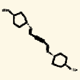 CCCCCC[C@H]1CC[C@H](C=CC#CC=C[C@H]2CC[C@H](CCCCCC)CC2)CC1